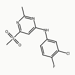 Cc1nc(Nc2ccc(F)c(Cl)c2)cc(S(C)(=O)=O)n1